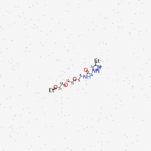 C[CH]c1cn(CC(=O)NCCOCCOCCOCC)nn1